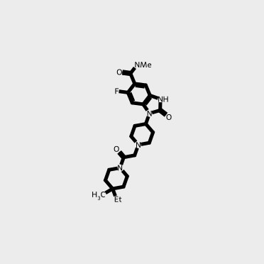 CCC1(C)CCN(C(=O)CN2CCC(n3c(=O)[nH]c4cc(C(=O)NC)c(F)cc43)CC2)CC1